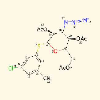 CC(=O)OCC1O[C@H](Sc2cc(Cl)cc(C#N)c2)[C@@H](OC(C)=O)C(N=[N+]=[N-])[C@H]1OC(C)=O